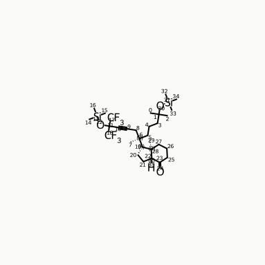 CC(C)(CCC[C@](C)(CC#CC(O[Si](C)(C)C)(C(F)(F)F)C(F)(F)F)[C@H]1CC[C@H]2C(=O)CCC[C@]12C)O[Si](C)(C)C